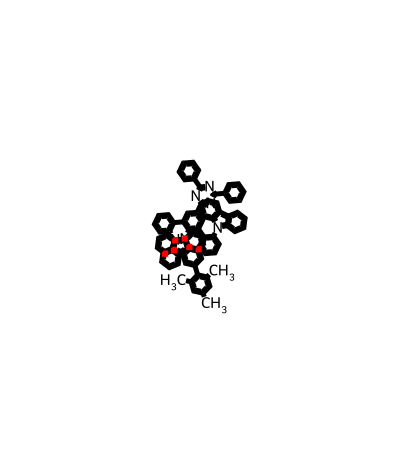 Cc1cc(C)c(-c2ccc3c(c2)c2ccccc2n3-c2c(-c3ccccc3-n3c4ccccc4c4ccccc43)cc(-c3nc(-c4ccccc4)nc(-c4ccccc4)n3)cc2-c2ccccc2-n2c3ccccc3c3ccccc32)c(C)c1